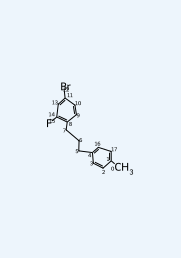 Cc1ccc(CCCc2ccc(Br)cc2F)cc1